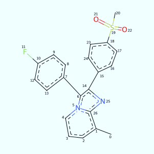 Cc1cccn2c(-c3ccc(F)cc3)c(-c3ccc(S(C)(=O)=O)cc3)nc12